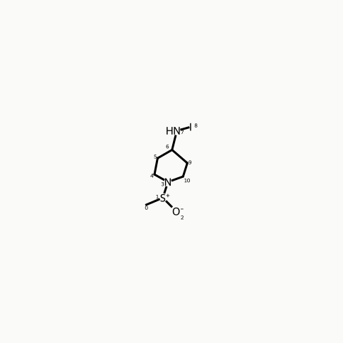 C[S+]([O-])N1CCC(NI)CC1